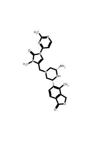 Cc1nccc(-n2cc(CN3C[C@@H](c4ccc5c(c4C)COC5=O)N[C@@H](N)C3)n(C)c2=O)n1